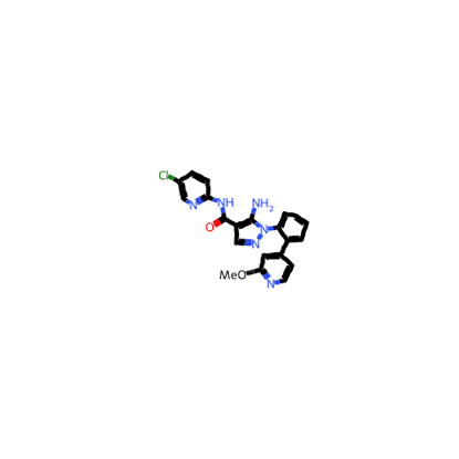 COc1cc(-c2ccccc2-n2ncc(C(=O)Nc3ccc(Cl)cn3)c2N)ccn1